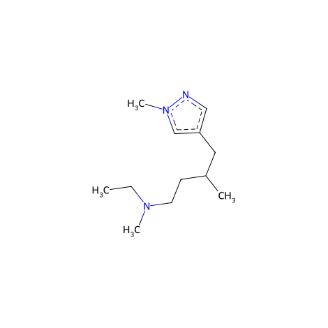 CCN(C)CCC(C)Cc1cnn(C)c1